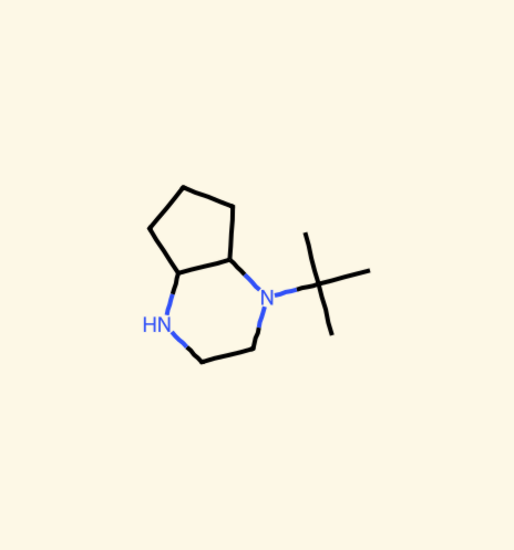 CC(C)(C)N1CCNC2CCCC21